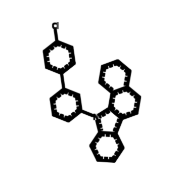 Clc1ccc(-c2cccc(-n3c4ccccc4c4ccc5ccccc5c43)c2)cc1